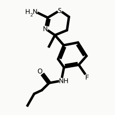 CCCC(=O)Nc1cc(C2(C)CCSC(N)=N2)ccc1F